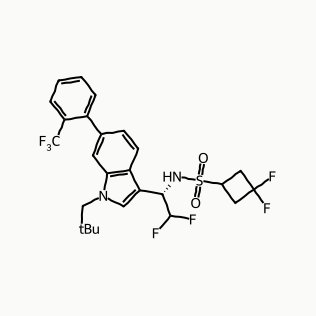 CC(C)(C)Cn1cc([C@H](NS(=O)(=O)C2CC(F)(F)C2)C(F)F)c2ccc(-c3ccccc3C(F)(F)F)cc21